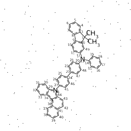 CC1(C)c2ccccc2-c2ccc(N(c3ccccc3)c3ccc(-c4ccc(-n5c6ccccc6c6c7ccccc7ccc65)cc4)cc3)cc21